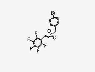 O=S(=O)(/C=C/c1c(F)c(F)c(F)c(F)c1F)Cc1ccc(Br)cc1